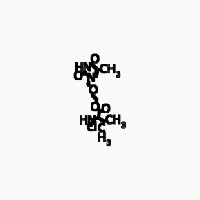 Cc1cn(COCCOC(=O)C(NCl)C(C)C)c(=O)[nH]c1=O